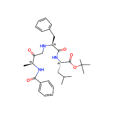 CC(C)C[C@H](NC(=O)[C@H](Cc1ccccc1)NCC(=O)[C@H](C)NC(=O)c1ccccc1)C(=O)OC(C)(C)C